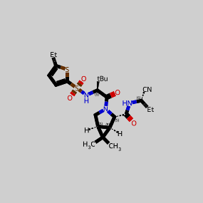 CCc1ccc(S(=O)(=O)N[C@H](C(=O)N2C[C@H]3[C@@H]([C@H]2C(=O)N[C@H](C#N)CC)C3(C)C)C(C)(C)C)s1